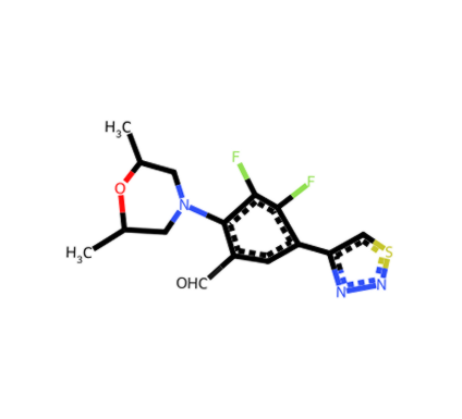 CC1CN(c2c(C=O)cc(-c3csnn3)c(F)c2F)CC(C)O1